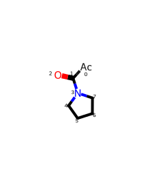 CC(=O)C(=O)N1CCCC1